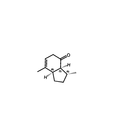 CC1=CCC(=O)[C@H]2[C@H](C)CC[C@@H]12